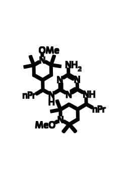 CCCC(Nc1nc(N)nc(NC(CCC)C2CC(C)(C)N(OC)C(C)(C)C2)n1)C1CC(C)(C)N(OC)C(C)(C)C1